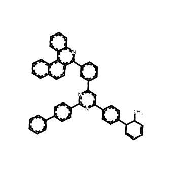 CC1C=CC=CC1c1ccc(-c2cc(-c3cccc(-c4nc5ccccc5c5c4ccc4ccccc45)c3)nc(-c3ccc(-c4ccccc4)cc3)n2)cc1